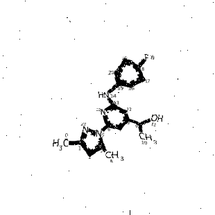 Cc1cc(C)n(-c2cc(C(C)O)cc(Nc3ccc(F)cc3)n2)n1